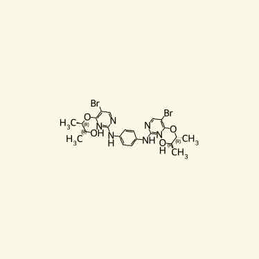 C[C@@H](O)[C@@H](C)Oc1nc(Nc2ccc(Nc3ncc(Br)c(O[C@H](C)[C@@H](C)O)n3)cc2)ncc1Br